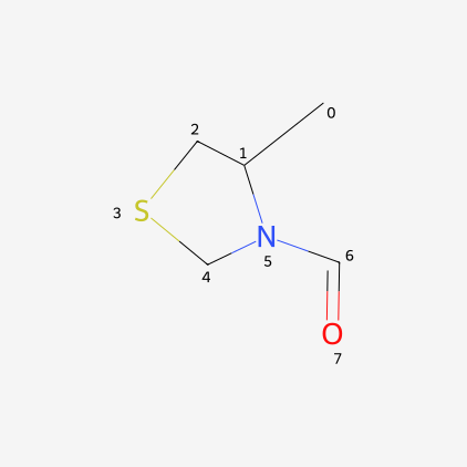 CC1CSCN1C=O